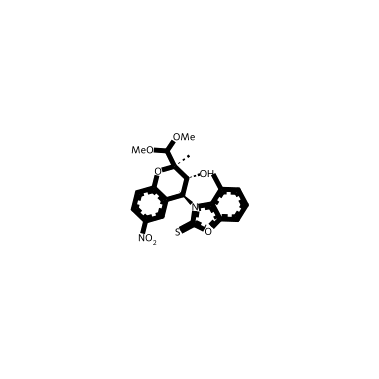 COC(OC)[C@]1(C)Oc2ccc([N+](=O)[O-])cc2[C@H](n2c(=S)oc3cccc(C)c32)[C@H]1O